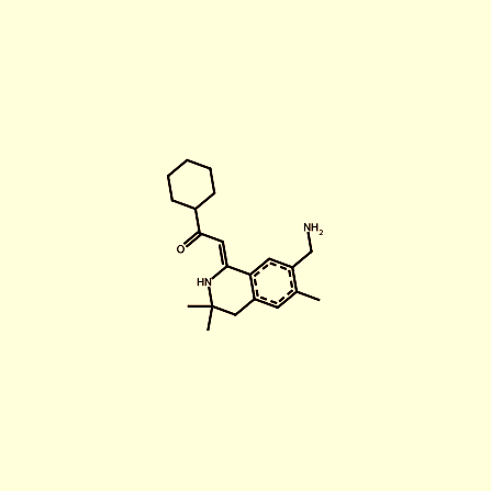 Cc1cc2c(cc1CN)/C(=C/C(=O)C1CCCCC1)NC(C)(C)C2